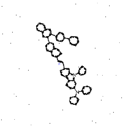 C(=C\c1ccc2c3ccc(N(c4ccccc4)c4ccccc4)cc3n(-c3ccccc3)c2c1)/c1ccc2cc(-c3cc4ccccc4cc3-c3ccc(-c4ccccc4)cc3)ccc2c1